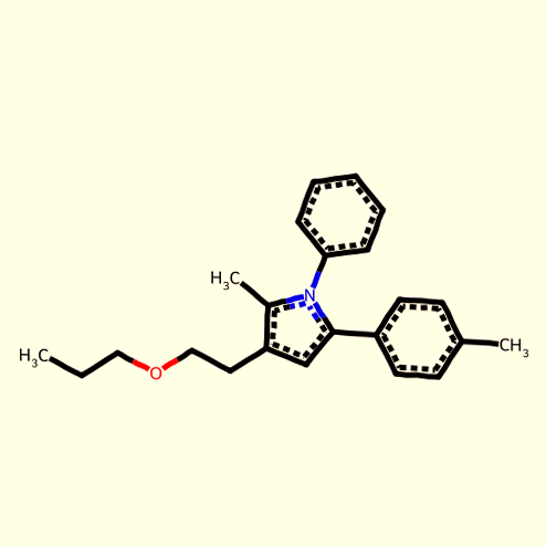 CCCOCCc1cc(-c2ccc(C)cc2)n(-c2ccccc2)c1C